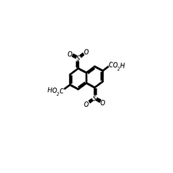 O=C(O)C1=CC(=S(=O)=O)C2=CC(C(=O)O)=CC(=S(=O)=O)C2=C1